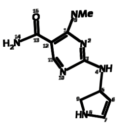 CNc1nc(NC2C=CNC2)ncc1C(N)=O